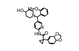 COc1ccccc1C(c1ccc(NC(=O)C2(C3=CC4OCOC4C=C3)CC2)nc1)N1CCC(O)CC1